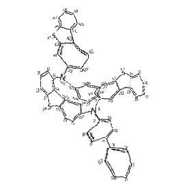 c1ccc(-c2ccc(N(c3ccc4sc5ccccc5c4c3)c3ccc4sc5cccc(N(c6ccccc6)c6ccc7c(c6)sc6ccccc67)c5c4c3)cc2)cc1